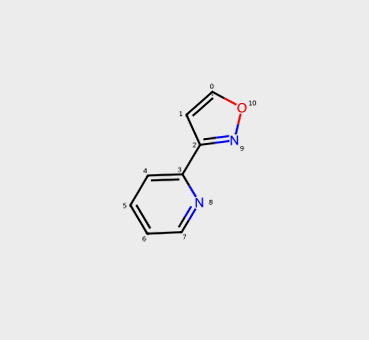 [c]1cc(-c2ccccn2)no1